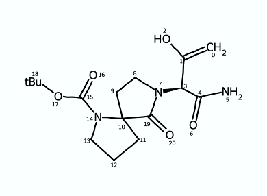 C=C(O)[C@@H](C(N)=O)N1CCC2(CCCN2C(=O)OC(C)(C)C)C1=O